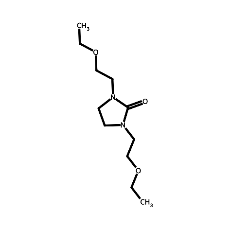 CCOCCN1CCN(CCOCC)C1=O